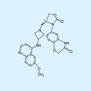 COc1ccc2nccc(NC3CN(C[C@H]4COC(=O)N4c4ccc5c(c4)NC(=O)CO5)C3)c2c1